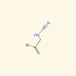 C=C(Br)CNC#N